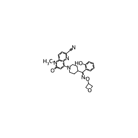 Cn1c(=O)cc(N2CCC(/C(=N/OC3COC3)c3ccccc3O)CC2)c2nc(C#N)ccc21